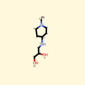 CC(C)N1CCC(NCC(O)CO)CC1